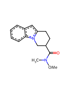 CON(C)C(=O)C1CCc2cc3ccccc3n2C1